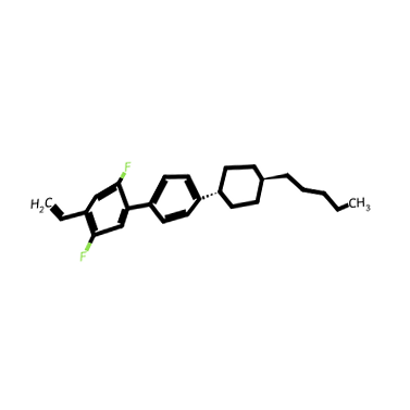 C=Cc1cc(F)c(-c2ccc([C@H]3CC[C@H](CCCCC)CC3)cc2)cc1F